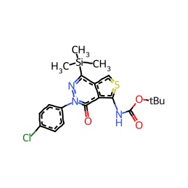 CC(C)(C)OC(=O)Nc1scc2c([Si](C)(C)C)nn(-c3ccc(Cl)cc3)c(=O)c12